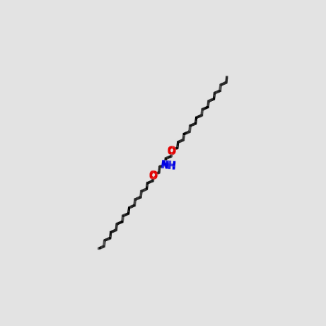 CCCCCCCCCCCCCCCCCCOCCNCCOCCCCCCCCCCCCCCCCCC